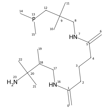 C=C(CCCC(=C)NCC(C)(C)CP(C)C)NCC(C)C(C)(C)N